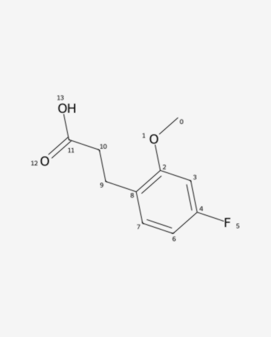 COc1cc(F)ccc1CCC(=O)O